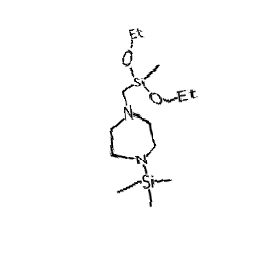 CCO[Si](C)(CN1CCN([Si](C)(C)C)CC1)OCC